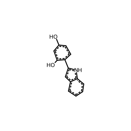 Oc1ccc(-c2cc3ccccc3[nH]2)c(O)c1